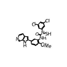 COc1ccc(-c2cc3ccncc3[nH]2)cc1NC(=O)N(S)c1cc(Cl)cc(Cl)c1